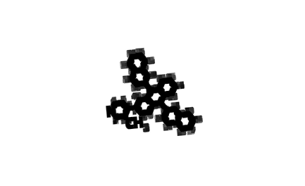 Cc1cnccc1-c1ccc2c(-c3ccc4ccccc4c3)c3ccccc3c(-c3ccc4ccccc4c3)c2c1